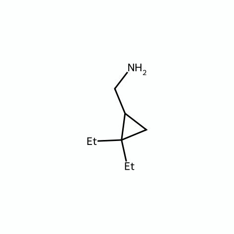 CCC1(CC)CC1CN